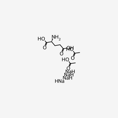 CC(=O)O.CC(=O)O.N[C@@H](CCC(=O)O)C(=O)O.[NaH].[NaH].[NaH].[NaH]